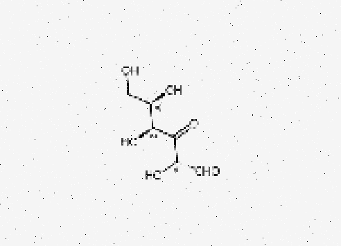 O=C[C@H](O)C(=O)[C@@H](O)[C@H](O)CO